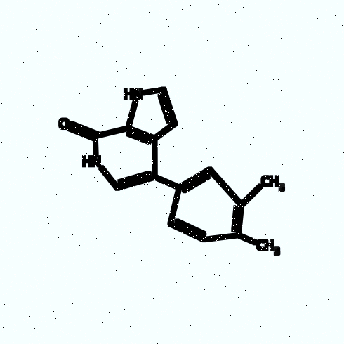 Cc1ccc(-c2c[nH]c(=O)c3[nH]ccc23)cc1C